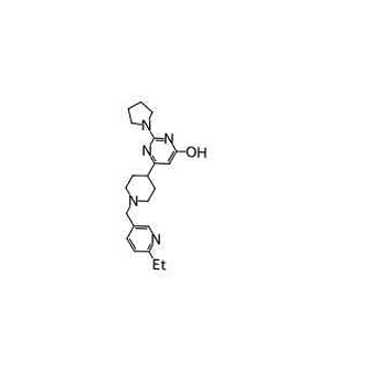 CCc1ccc(CN2CCC(c3cc(O)nc(N4CCCC4)n3)CC2)cn1